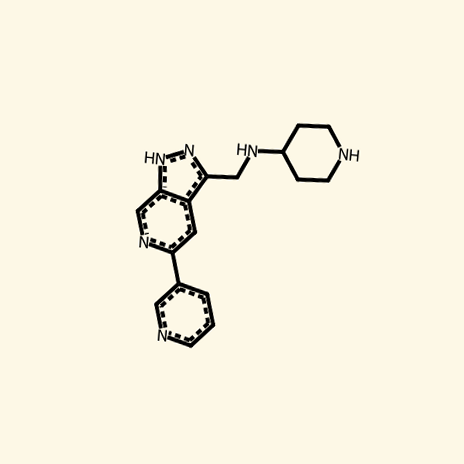 c1cncc(-c2cc3c(CNC4CCNCC4)n[nH]c3cn2)c1